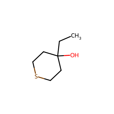 CCC1(O)CCSCC1